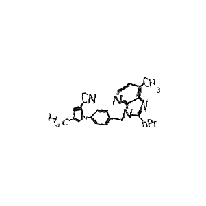 CCCc1nc2c(C)ccnc2n1Cc1ccc(-n2cc(C)cc2C#N)cc1